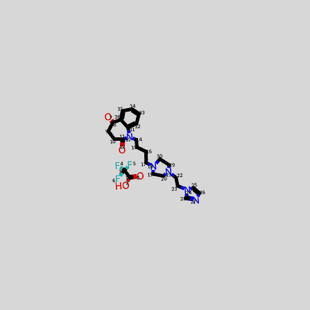 O=C(O)C(F)(F)F.O=C1CCC(=O)N(CCCCN2CCN(CCn3ccnc3)CC2)c2ccccc21